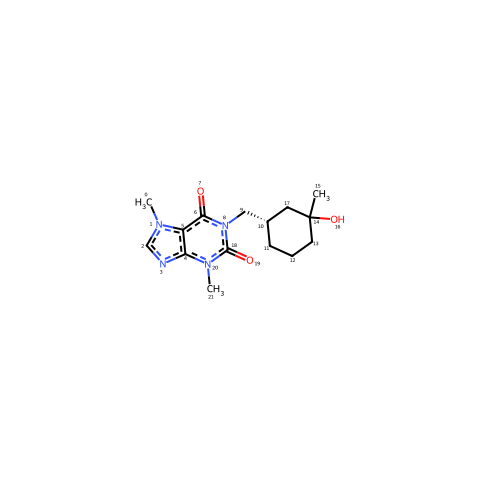 Cn1cnc2c1c(=O)n(C[C@H]1CCCC(C)(O)C1)c(=O)n2C